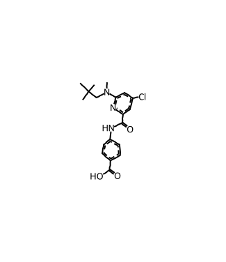 CN(CC(C)(C)C)c1cc(Cl)cc(C(=O)Nc2ccc(C(=O)O)cc2)n1